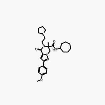 COc1ccc(-c2cc3n(n2)CC(C)(C(=O)NC2CCCCCC2)N(CCN2CCCC2)C3=O)cc1